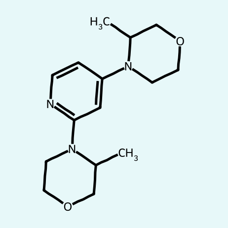 CC1COCCN1c1ccnc(N2CCOCC2C)c1